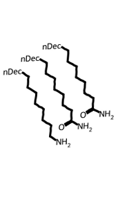 CCCCCCCCCCCCCCCCCC(N)=O.CCCCCCCCCCCCCCCCCC(N)=O.CCCCCCCCCCCCCCCCCCN